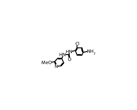 COc1cc(NC(=O)Nc2ccc(N)cc2Cl)ccn1